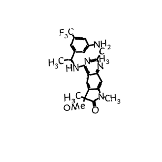 COC1(C)C(=O)N(C)c2cc3nc(C)nc(NC(C)c4cc(N)cc(C(F)(F)F)c4)c3cc21